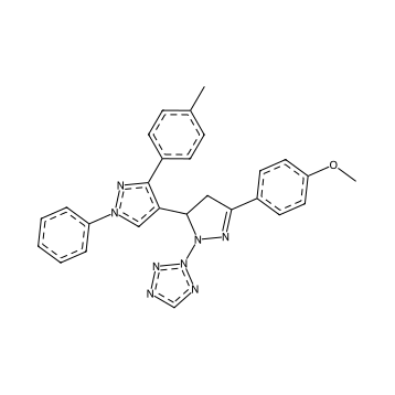 COc1ccc(C2=NN(n3ncnn3)C(c3cn(-c4ccccc4)nc3-c3ccc(C)cc3)C2)cc1